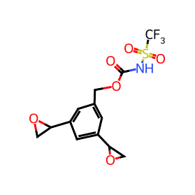 O=C(NS(=O)(=O)C(F)(F)F)OCc1cc(C2CO2)cc(C2CO2)c1